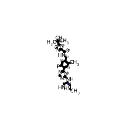 CN/C=C(\C=N)Nc1ncnc(-c2cc(C)c(CNC(=O)c3noc(C(C)(C)C)n3)cc2F)n1